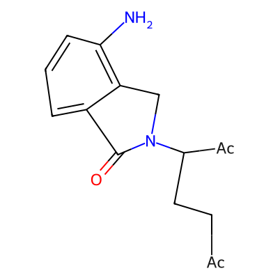 CC(=O)CCC(C(C)=O)N1Cc2c(N)cccc2C1=O